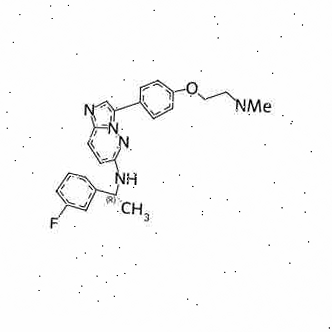 CNCCOc1ccc(-c2cnc3ccc(N[C@H](C)c4cccc(F)c4)nn23)cc1